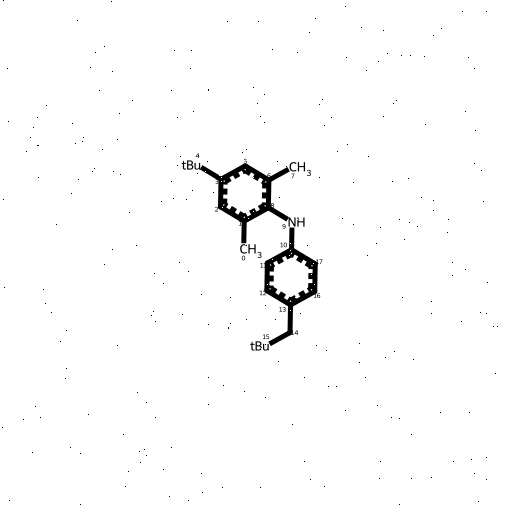 Cc1cc(C(C)(C)C)cc(C)c1Nc1ccc(CC(C)(C)C)cc1